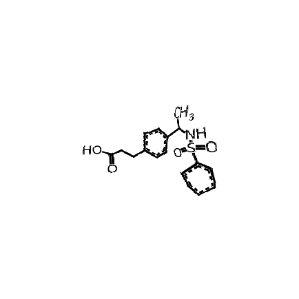 CC(NS(=O)(=O)c1ccccc1)c1ccc(CCC(=O)O)cc1